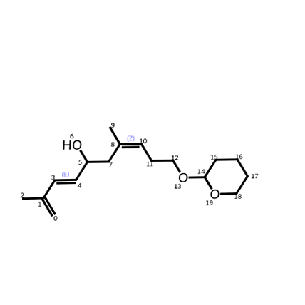 C=C(C)/C=C/C(O)C/C(C)=C\CCOC1CCCCO1